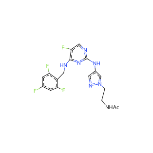 CC(=O)NCCn1cc(Nc2ncc(F)c(NCc3c(F)cc(F)cc3F)n2)cn1